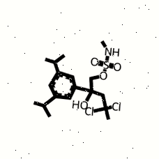 CNS(=O)(=O)OCC(O)(CC(C)(Cl)Cl)c1cc(C(C)C)cc(C(C)C)c1